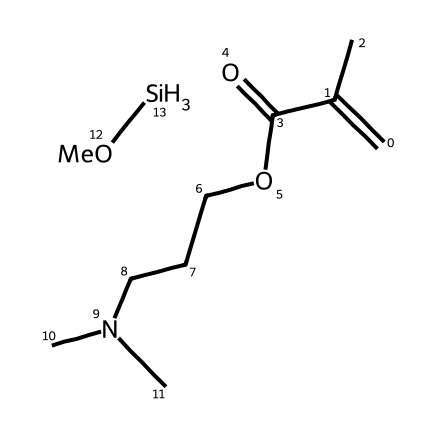 C=C(C)C(=O)OCCCN(C)C.CO[SiH3]